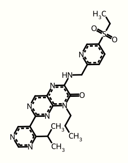 CCCn1c(=O)c(NCc2ccc(S(=O)(=O)CC)cn2)nc2cnc(-c3cncnc3C(C)C)nc21